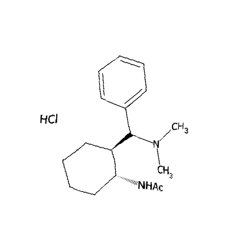 CC(=O)N[C@@H]1CCCC[C@H]1C(c1ccccc1)N(C)C.Cl